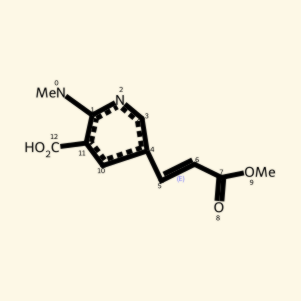 CNc1ncc(/C=C/C(=O)OC)cc1C(=O)O